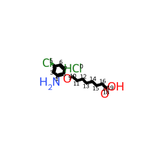 Cl.Nc1cc(Cl)ccc1OCCCCCCCC(=O)O